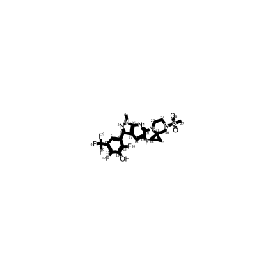 Cn1nc(-c2cc(C(F)(F)F)c(F)c(O)c2F)c2cc(F)c(N3CCN(S(C)(=O)=O)CC34CC4)nc21